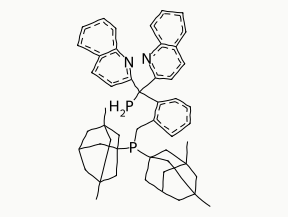 CC12CC3CC(C)(C1)CC(P(Cc1ccccc1C(P)(c1ccc4ccccc4n1)c1ccc4ccccc4n1)C14CC5CC(C)(CC(C)(C5)C1)C4)(C3)C2